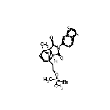 CC(C)(C)[Si](C)(C)OCC[C@@]12C=C[C@](C)(O1)C1C(=O)N(c3ccc4ncsc4c3)C(=O)[C@H]12